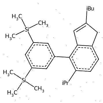 CCC(C)C1=Cc2c(ccc(C(C)C)c2-c2cc([Si](C)(C)C)cc([Si](C)(C)C)c2)[CH]1